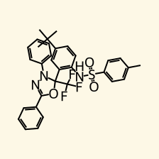 Cc1ccc(S(=O)(=O)Nc2ccc(C(C)(C)C)cc2C2(C(F)(F)F)OC(c3ccccc3)=NN2c2ccccc2)cc1